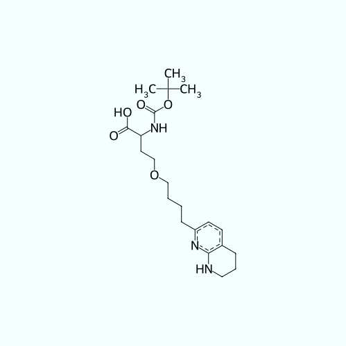 CC(C)(C)OC(=O)NC(CCOCCCCc1ccc2c(n1)NCCC2)C(=O)O